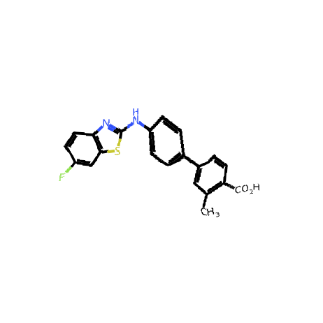 Cc1cc(-c2ccc(Nc3nc4ccc(F)cc4s3)cc2)ccc1C(=O)O